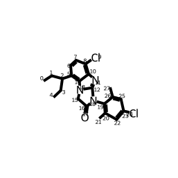 CCC(CC)c1ccc(Cl)c2nc3n(c12)CC(=O)N3c1c(C)cc(Cl)cc1C